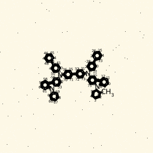 CC1C=CC=CC1n1c2ccccc2c2cc(N(c3ccc(-c4ccccc4)cc3)c3ccc(-c4ccc(N(c5ccc(-c6ccccc6)cc5)c5ccc6c(c5)c5ccccc5n6-c5ccccc5)cc4)cc3)ccc21